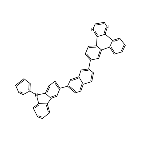 c1ccc(-n2c3ccccc3c3cc(-c4ccc5ccc(-c6ccc7c(c6)c6ccccc6c6nccnc76)cc5c4)ccc32)cc1